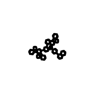 c1ccc(-c2cc(-c3cc4oc5ccccc5c4c4oc5ccccc5c34)ccc2N(c2ccc(-c3cccc4ccccc34)cc2)c2ccc3c(c2)oc2ccccc23)cc1